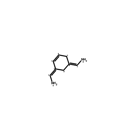 N/C=C1/C=CC/C(=C\N)C1